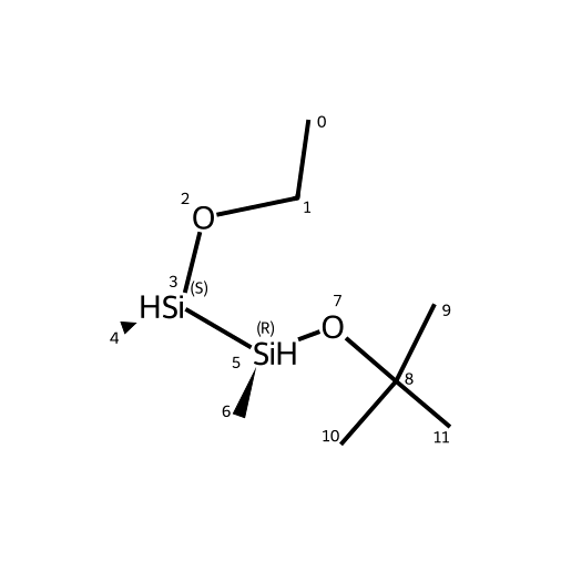 CCO[Si@H](C)[Si@H](C)OC(C)(C)C